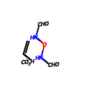 C=CC(=O)O.O=CNONC=O